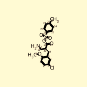 COc1ccc(Cl)cc1C[C@@H](CN)C(=O)OS(=O)(=O)c1ccc(C)cc1